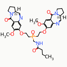 CCCC(=O)NCP(=O)(CCOc1cc2c(cc1OC)C(=O)N1CCC[C@H]1C=N2)CCOc1cc2c(cc1OC)C(=O)N1CCC[C@H]1C=N2